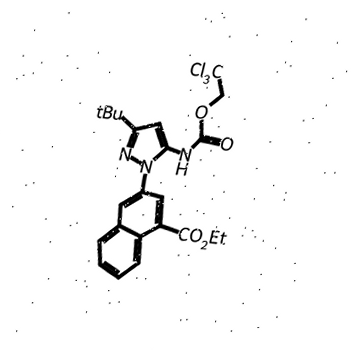 CCOC(=O)c1cc(-n2nc(C(C)(C)C)cc2NC(=O)OCC(Cl)(Cl)Cl)cc2ccccc12